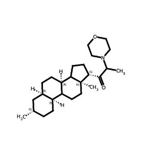 CC(C(=O)[C@H]1CCC2[C@@H]3CC[C@@H]4C[C@@H](C)CC[C@@H]4C3CC[C@@]21C)N1CCOCC1